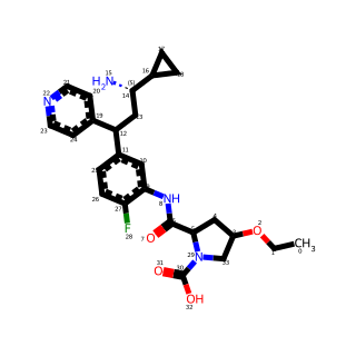 CCOC1CC(C(=O)Nc2cc(C(C[C@H](N)C3CC3)c3ccncc3)ccc2F)N(C(=O)O)C1